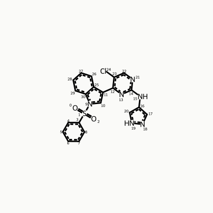 O=S(=O)(c1ccccc1)n1cc(-c2nc(Nc3cn[nH]c3)ncc2Cl)c2ccccc21